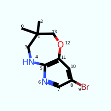 CC1(C)CNc2ncc(Br)cc2OC1